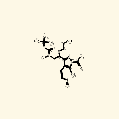 C=N/C=C\c1c(C(CN(C)C(=O)OC(C)(C)C)OCCO)nn(C(C)=O)c1C